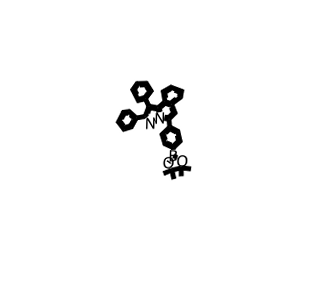 CC1(C)OB(c2ccc(-c3cc4ccccc4c4c(-c5ccccc5)c(-c5ccccc5)nn34)cc2)OC1(C)C